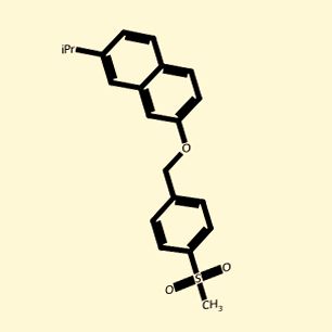 CC(C)c1ccc2ccc(OCc3ccc(S(C)(=O)=O)cc3)cc2c1